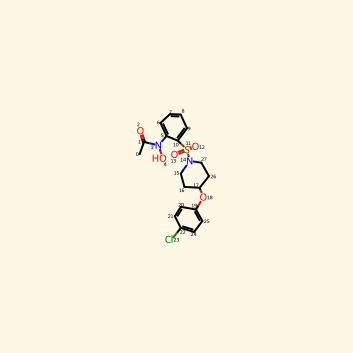 CC(=O)N(O)c1ccccc1S(=O)(=O)N1CCC(Oc2ccc(Cl)cc2)CC1